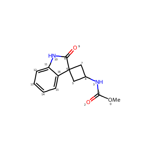 COC(=O)NC1CC2(C1)C(=O)Nc1ccccc12